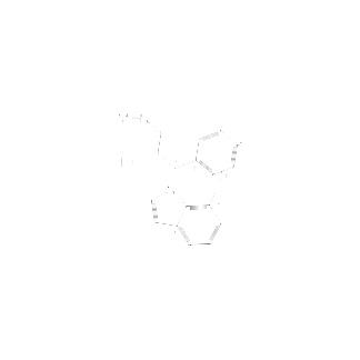 CNC[C@@H](O)[C@H](c1ccccc1)n1ccc2cccc(F)c21